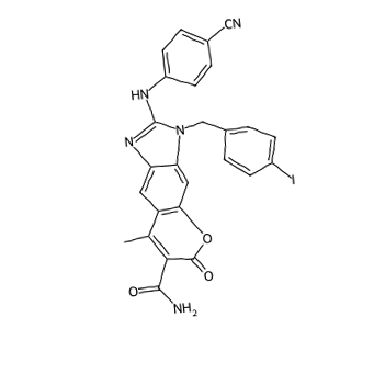 Cc1c(C(N)=O)c(=O)oc2cc3c(cc12)nc(Nc1ccc(C#N)cc1)n3Cc1ccc(I)cc1